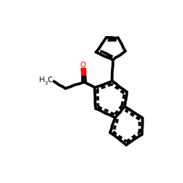 CCC(=O)c1cc2ccccc2cc1C1=CC=CC1